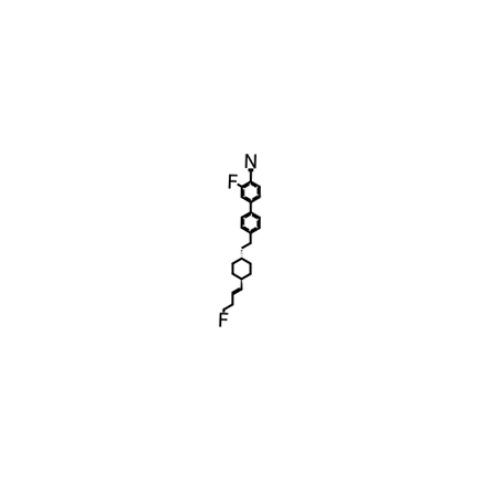 N#Cc1ccc(-c2ccc(CC[C@H]3CC[C@H](C=CCCF)CC3)cc2)cc1F